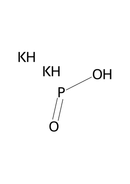 O=PO.[KH].[KH]